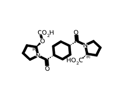 O=C(O)O[C@@H]1CCCN1C(=O)[C@H]1CC[C@@H](C(=O)N2CCC[C@@H]2C(=O)O)CC1